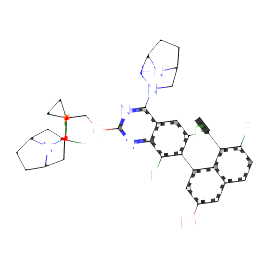 C#Cc1c(F)ccc2cc(O)cc(-c3c(F)cc4c(N5CC6CCC(C5)N6)nc(OCC5(CN6C7CCC6CC(F)(F)C7)CC5)nc4c3F)c12